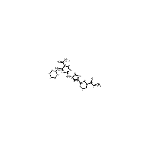 C=CC(=O)N1CCC[C@@H](n2cc(Nc3ncc(C(N)=O)c(NC4CCCCC4)n3)cn2)C1